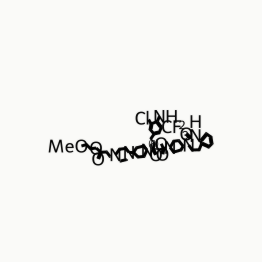 COCCOC(=O)CCN1CCN(C2CCN(C(=O)[C@@H](Cc3cc(Cl)c(N)c(C(F)(F)F)c3)OC(=O)N3CCC(N4CCc5ccccc5NC4=O)CC3)CC2)CC1